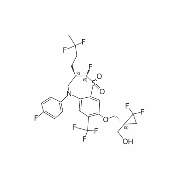 CC(F)(F)CC[C@@H]1CN(c2ccc(F)cc2)c2cc(C(F)(F)F)c(OC[C@@]3(CO)CC3(F)F)cc2S(=O)(=O)[C@@H]1F